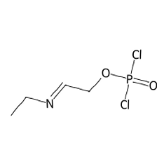 CCN=CCOP(=O)(Cl)Cl